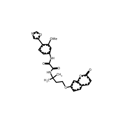 COc1cc(NC(=O)C(=O)NC(C)(C)CCOc2ccc3ccc(=O)oc3c2)ccc1-c1cnco1